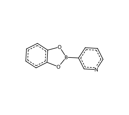 c1cncc(B2Oc3ccccc3O2)c1